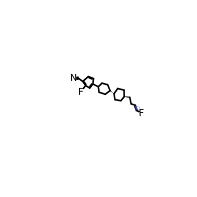 N#Cc1ccc(C2CCC([C@H]3CC[C@H](CC/C=C/F)CC3)CC2)cc1F